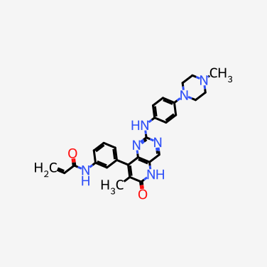 C=CC(=O)Nc1cccc(-c2c(C)c(=O)[nH]c3cnc(Nc4ccc(N5CCN(C)CC5)cc4)nc23)c1